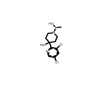 CB(O)N1CCC(O)(c2ncc(Cl)cc2Cl)CC1